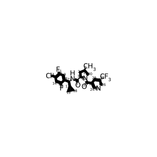 C[C@@H]1C[C@H](C(=O)N[C@@H](c2cc(F)c(Cl)cc2F)C2CC2)N(C(=O)c2cncc(C(F)(F)F)c2)C1